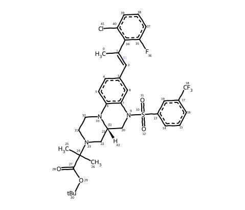 C/C(=C\c1ccc2c(c1)N(S(=O)(=O)c1cccc(C(F)(F)F)c1)C[C@@H]1CN(C(C)(C)C(=O)OC(C)(C)C)CCN21)c1c(F)cccc1Cl